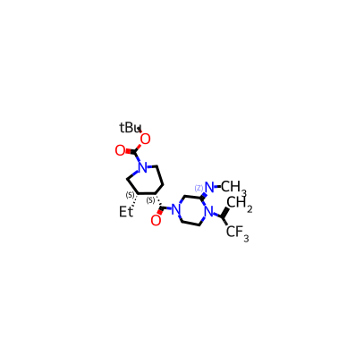 C=C(N1CCN(C(=O)[C@H]2CCN(C(=O)OC(C)(C)C)C[C@H]2CC)C/C1=N/C)C(F)(F)F